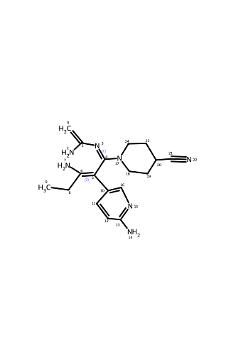 C=C(N)/N=C(\C(=C(/N)CC)c1ccc(N)nc1)N1CCC(C#N)CC1